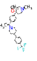 C=C(c1ccc(C2(OC)CCN(C)CC2)cc1)N1CCC(c2ccc(C(F)(F)F)cc2)CC1